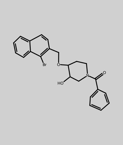 O=C(c1ccccc1)N1CCC(OCc2ccc3ccccc3c2Br)C(O)C1